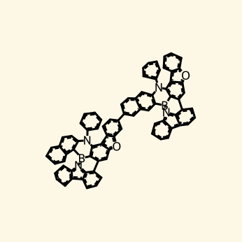 c1ccc(N2c3cc4ccc(-c5ccc6c(c5)oc5cc7c8c(c56)N(c5ccccc5)c5ccc6ccccc6c5B8n5c6ccccc6c6cccc-7c65)cc4cc3B3c4c(cc5oc6ccccc6c5c42)-c2cccc4c5ccccc5n3c24)cc1